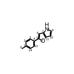 Cc1ccc(-c2cc3[nH]ccc3o2)cc1